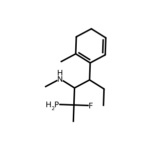 CCC(C1=C(C)CCC=C1)C(NC)C(C)(F)P